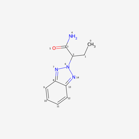 CCC(C(N)=O)n1nc2ccccc2n1